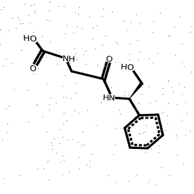 O=C(O)NCC(=O)N[C@@H](CO)c1ccccc1